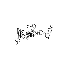 CN1CCC(Nc2ccc(S(=O)(=O)NC(=O)c3ccc(N4CCN(CC5=C(c6ccc(Cl)cc6)CC(C)(C)CC5)CC4)cc3Oc3ccccc3Cl)cc2S(=O)(=O)C(F)(F)F)CC1